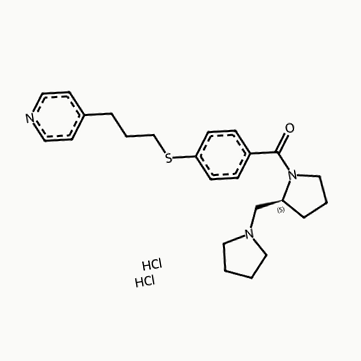 Cl.Cl.O=C(c1ccc(SCCCc2ccncc2)cc1)N1CCC[C@H]1CN1CCCC1